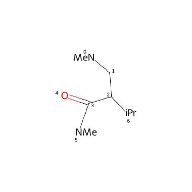 CNCC(C(=O)NC)C(C)C